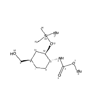 CC(C)(C)OC(=O)N[C@@H]1CC[C@@H](CO)C[C@H]1O[Si](C)(C)C(C)(C)C